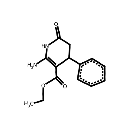 CCOC(=O)C1=C(N)NC(=O)CC1c1ccccc1